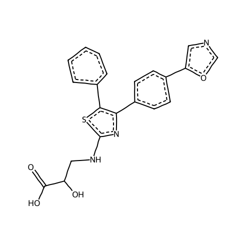 O=C(O)C(O)CNc1nc(-c2ccc(-c3cnco3)cc2)c(-c2ccccc2)s1